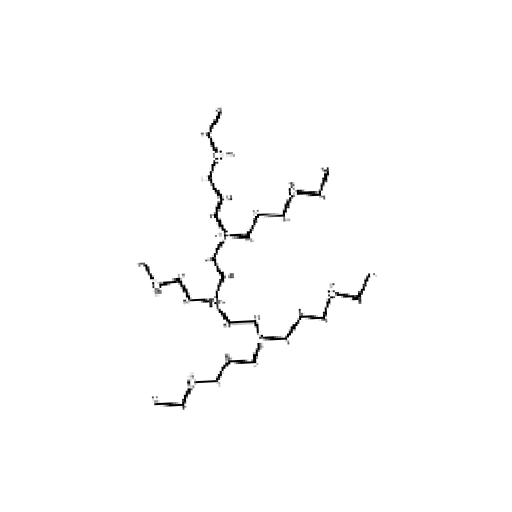 CCOCCCP(CCCOCC)CCN(CCOC)CCP(CCCOCC)CCCOCC